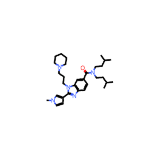 CC(C)CCN(CCC(C)C)C(=O)c1ccc2nc(-c3ccn(C)c3)n(CCCN3CCCCC3)c2c1